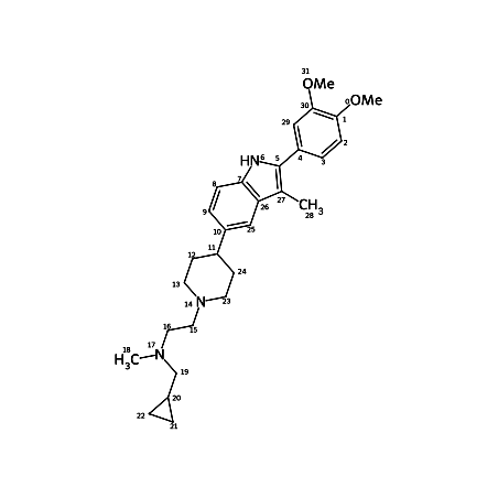 COc1ccc(-c2[nH]c3ccc(C4CCN(CCN(C)CC5CC5)CC4)cc3c2C)cc1OC